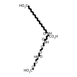 O=C(O)CCCCCCCCCCCCCCCCCC(=O)N[C@@H](CCC(=O)NCCOCCOCC(=O)NCCOCCOCC(=O)O)C(=O)O